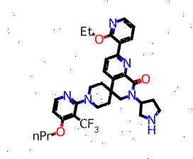 CCCOc1ccnc(N2CCC3(CC2)CN(C2CCNC2)C(=O)c2nc(-c4cccnc4OCC)ccc23)c1C(F)(F)F